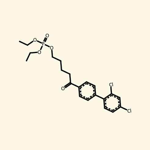 CCOP(=O)(OCC)OCCCCC(=O)c1ccc(-c2ccc(Cl)cc2Cl)cc1